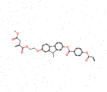 C=CC(=O)Oc1ccc(C(=O)Oc2ccc3c(c2)C(C)c2cc(OCCOC(=O)C(=C)CC(=O)OC)ccc2-3)cc1